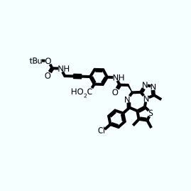 Cc1sc2c(c1C)C(c1ccc(Cl)cc1)=N[C@@H](CC(=O)Nc1ccc(C#CCNC(=O)OC(C)(C)C)c(C(=O)O)c1)c1nnc(C)n1-2